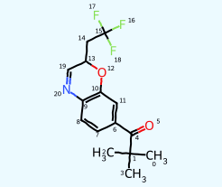 CC(C)(C)C(=O)c1ccc2c(c1)OC(CC(F)(F)F)C=N2